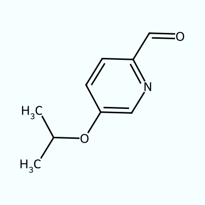 CC(C)Oc1ccc(C=O)nc1